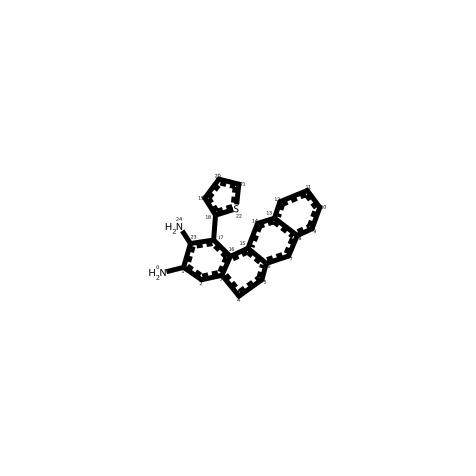 Nc1cc2ccc3cc4ccccc4cc3c2c(-c2cccs2)c1N